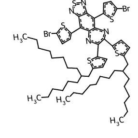 CCCCCCCCC(CCCCCC)Cc1ccc(-c2nc3c(-c4ccc(Br)s4)c4nsnc4c(-c4ccc(Br)s4)c3nc2-c2ccc(CC(CCCCCC)CCCCCCCC)s2)s1